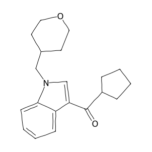 O=C(c1cn(CC2CCOCC2)c2ccccc12)C1CCCC1